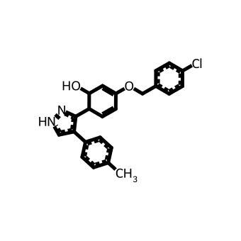 Cc1ccc(-c2c[nH]nc2C2C=CC(OCc3ccc(Cl)cc3)=CC2O)cc1